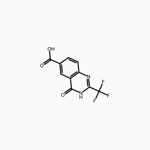 O=C(O)c1ccc2nc(C(F)(F)F)[nH]c(=O)c2c1